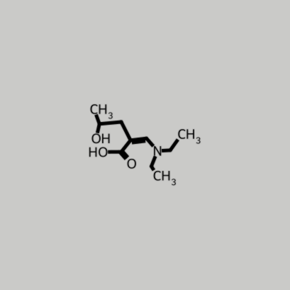 CCN(C=C(CC(C)O)C(=O)O)CC